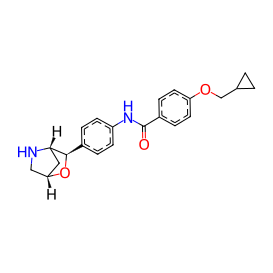 O=C(Nc1ccc([C@H]2O[C@@H]3CN[C@H]2C3)cc1)c1ccc(OCC2CC2)cc1